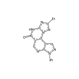 CCc1nc2[nH]c(=O)c3cnc4c(cnn4C(C)C)c3n2n1